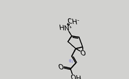 [CH-]=[NH+]C1=CC2OC2(/C=C/C(=O)O)C1